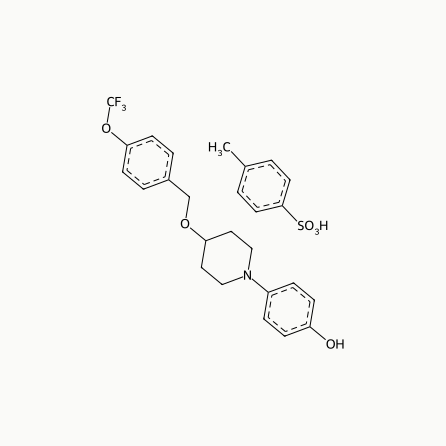 Cc1ccc(S(=O)(=O)O)cc1.Oc1ccc(N2CCC(OCc3ccc(OC(F)(F)F)cc3)CC2)cc1